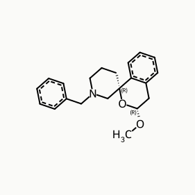 CO[C@H]1Cc2ccccc2[C@@]2(CCCN(Cc3ccccc3)C2)O1